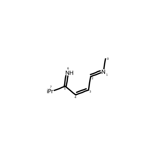 C/N=C/C=C\C(=N)C(C)C